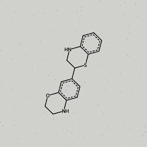 c1ccc2c(c1)NCC(c1ccc3c(c1)OCCN3)S2